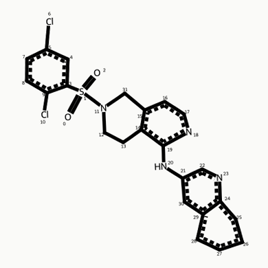 O=S(=O)(c1cc(Cl)ccc1Cl)N1CCc2c(ccnc2Nc2cnc3ccccc3c2)C1